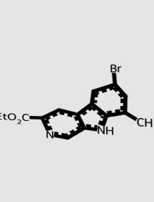 CCOC(=O)c1cc2c(cn1)[nH]c1c(C)cc(Br)cc12